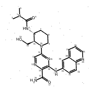 CN(C)C(=O)N[C@@H]1CCCN(c2cnc(C(N)=O)c(Nc3ccc4ncccc4c3)n2)[C@H]1CO